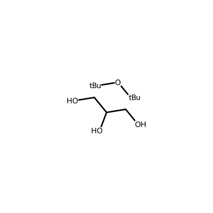 CC(C)(C)OC(C)(C)C.OCC(O)CO